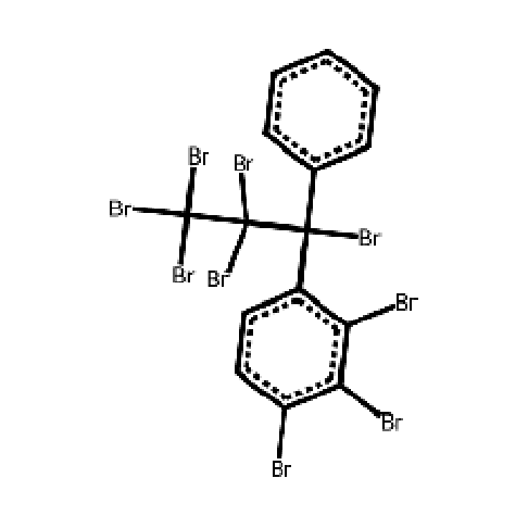 Brc1ccc(C(Br)(c2ccccc2)C(Br)(Br)C(Br)(Br)Br)c(Br)c1Br